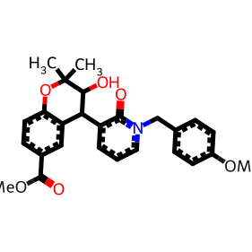 COC(=O)c1ccc2c(c1)C(c1cccn(Cc3ccc(OC)cc3)c1=O)C(O)C(C)(C)O2